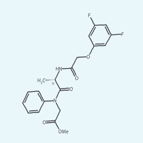 COC(=O)CN(C(=O)[C@H](C)NC(=O)COc1cc(F)cc(F)c1)c1ccccc1